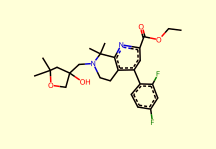 CCOC(=O)c1cc(-c2ccc(F)cc2F)c2c(n1)C(C)(C)N(CC1(O)COC(C)(C)C1)CC2